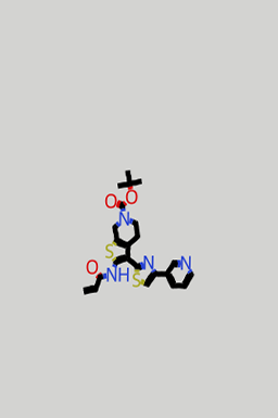 C=CC(=O)Nc1sc2c(c1-c1nc(-c3cccnc3)cs1)CCN(C(=O)OC(C)(C)C)C2